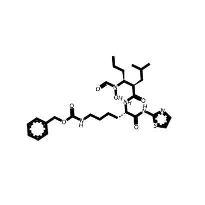 CCC[C@@H]([C@@H](CC(C)C)C(=O)N[C@@H](CCCCNC(=O)OCc1ccccc1)C(=O)Nc1nccs1)N(O)C=O